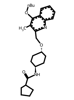 CCCCOc1c(C)c(CO[C@H]2CC[C@H](NC(=O)C3CCCC3)CC2)nc2ccccc12